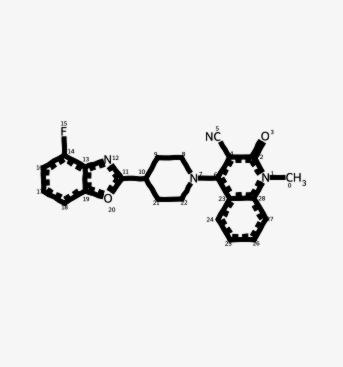 Cn1c(=O)c(C#N)c(N2CCC(c3nc4c(F)cccc4o3)CC2)c2ccccc21